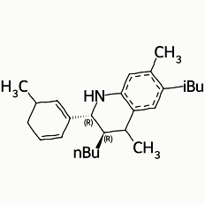 CCCC[C@@H]1C(C)c2cc(C(C)CC)c(C)cc2N[C@H]1C1=CC(C)CC=C1